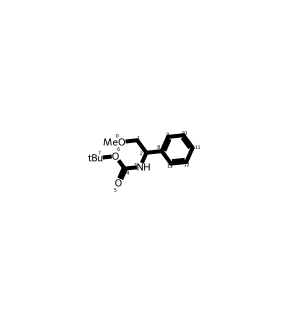 COCC(NC(=O)OC(C)(C)C)c1ccccc1